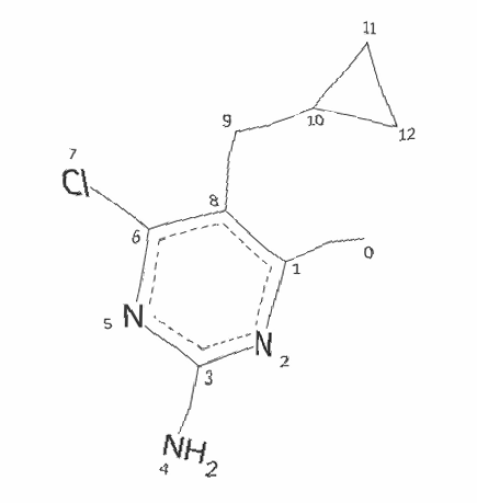 Cc1nc(N)nc(Cl)c1CC1CC1